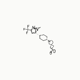 Cn1nc(C(F)(F)F)cc1[C@H]1CC[C@@H](N2CCC3(C2)CS(=O)(=O)C3)CC1